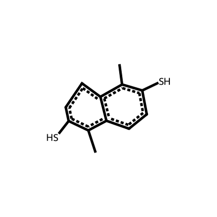 Cc1c(S)ccc2c(C)c(S)ccc12